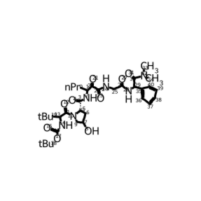 CCCC(NC(=O)[C@@H]1CC(O)CN1C(=O)C(NC(=O)OC(C)(C)C)C(C)(C)C)C(=O)C(=O)NCC(=O)NC(C(=O)N(C)C)c1ccccc1